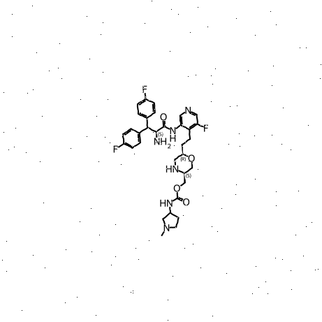 CN1CCC(NC(=O)OC[C@@H]2CO[C@H](CCc3c(F)cncc3NC(=O)[C@@H](N)C(c3ccc(F)cc3)c3ccc(F)cc3)CN2)C1